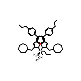 CCCc1ccc(-c2cccc3c2C=C(CC2CCCCCC2)[CH]3[Zr]([CH3])(=[SiH2])([CH2]CC)[CH]2C(CC3CCCCCC3)=Cc3c(-c4ccc(CCC)cc4)cccc32)cc1.Cl.Cl